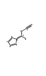 C#CCC(C)=C1C=CC=C1